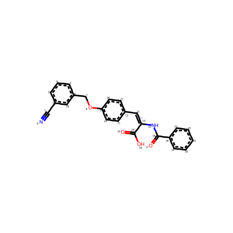 N#Cc1cccc(COc2ccc(/C=C(/NC(=O)c3ccccc3)C(=O)O)cc2)c1